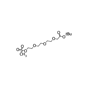 CC(C)(C)OC(=O)COCCOCCOCCOS(C)(=O)=O